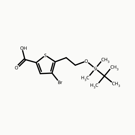 CC(C)(C)[Si](C)(C)OCCc1sc(C(=O)O)cc1Br